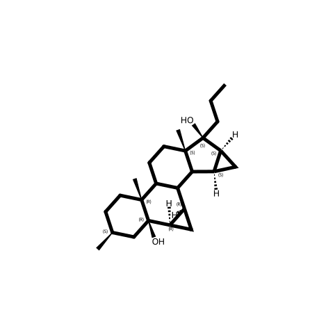 CCC[C@]1(O)[C@H]2C[C@H]2C2C3C(CC[C@@]21C)[C@@]1(C)CC[C@H](C)C[C@@]1(O)[C@@H]1C[C@H]31